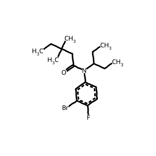 CCC(CC)N(C(=O)CC(C)(C)CC)c1ccc(F)c(Br)c1